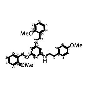 COc1ccc(CCNc2cc(OCc3ccccc3OC)nc(OCc3ccccc3OC)n2)cc1